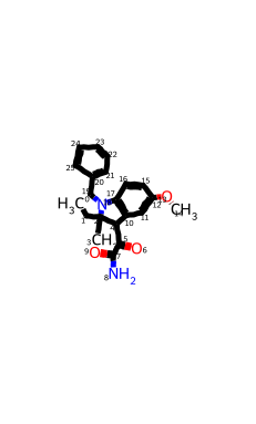 CCC1(C)C(C(=O)C(N)=O)c2cc(OC)ccc2N1Cc1ccccc1